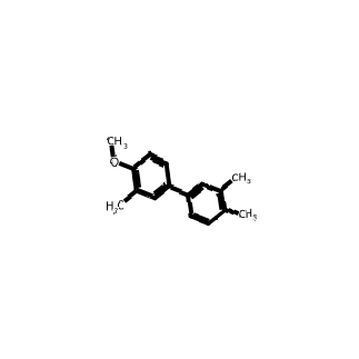 COc1ccc(-c2ccc(C)c(C)c2)cc1C